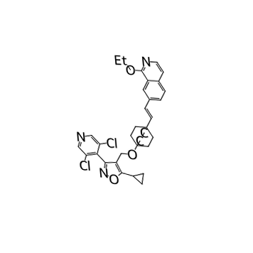 CCOc1nccc2ccc(/C=C/C34CCC(OCc5c(-c6c(Cl)cncc6Cl)noc5C5CC5)(CC3)CC4)cc12